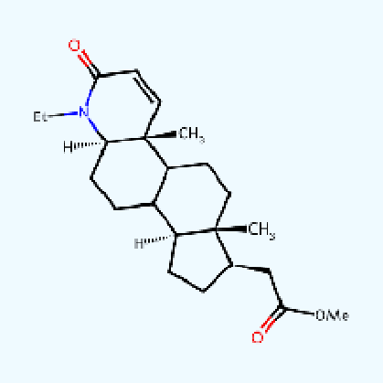 CCN1C(=O)C=C[C@]2(C)C3CC[C@]4(C)[C@@H](CC(=O)OC)CC[C@H]4C3CC[C@@H]12